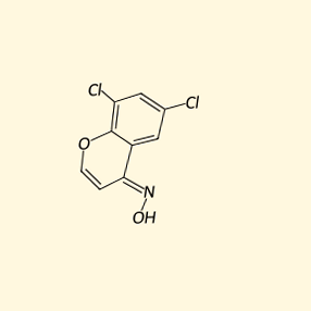 ON=c1ccoc2c(Cl)cc(Cl)cc12